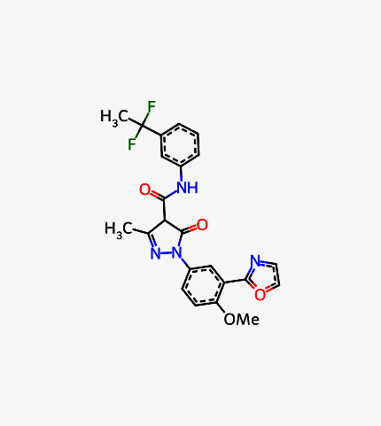 COc1ccc(N2N=C(C)C(C(=O)Nc3cccc(C(C)(F)F)c3)C2=O)cc1-c1ncco1